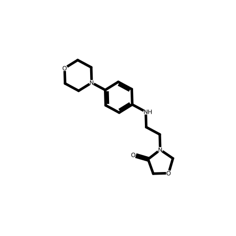 O=C1COCN1CCNc1ccc(N2CCOCC2)cc1